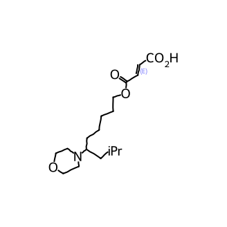 CC(C)CC(CCCCCOC(=O)/C=C/C(=O)O)N1CCOCC1